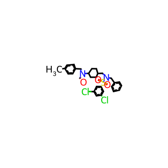 Cc1ccc(CN(C=O)C2CCC(CN(Cc3ccccc3)S(=O)(=O)c3cc(Cl)cc(Cl)c3)CC2)cc1